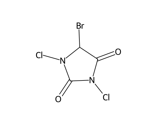 O=C1C(Br)N(Cl)C(=O)N1Cl